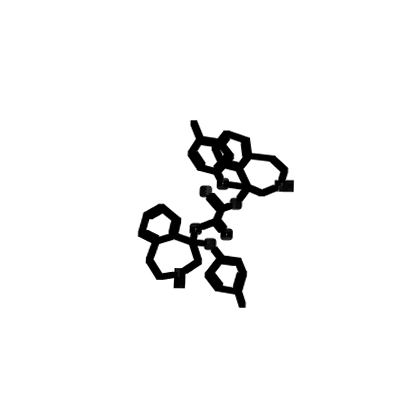 Cc1ccc(OC2(OC(=O)C(=O)OC3(Oc4ccc(C)cc4)CNCCc4ccccc43)CNCCc3ccccc32)cc1